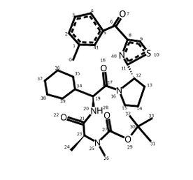 Cc1cccc(C(=O)c2csc([C@@H]3CCCN3C(=O)[C@@H](NC(=O)[C@H](C)N(C)C(=O)OC(C)(C)C)C3CCCCC3)n2)c1